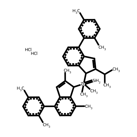 CC1=Cc2c(-c3cc(C)ccc3C)ccc(C)c2[CH]1[Zr]([CH3])([CH3])(=[SiH2])[CH]1C(C(C)C)=Cc2c(-c3cc(C)ccc3C)cccc21.Cl.Cl